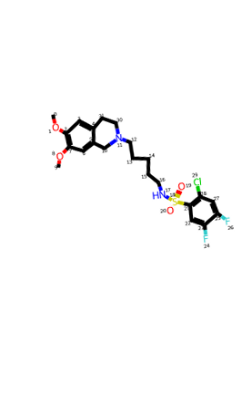 COc1cc2c(cc1OC)CN(CCCCCNS(=O)(=O)c1cc(F)c(F)cc1Cl)CC2